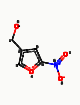 [O]Cc1coc([N+](=O)[O-])c1